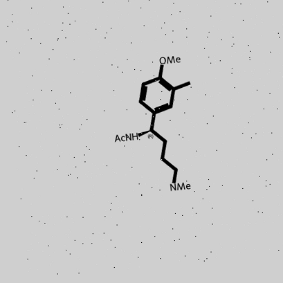 CNCCC[C@@H](NC(C)=O)c1ccc(OC)c(C)c1